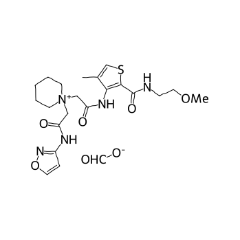 COCCNC(=O)c1scc(C)c1NC(=O)C[N+]1(CC(=O)Nc2ccon2)CCCCC1.O=C[O-]